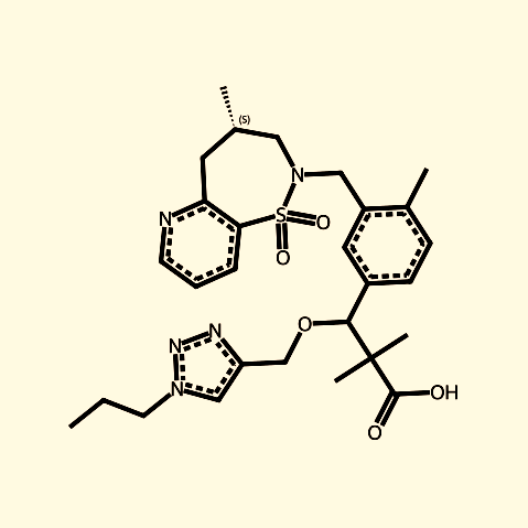 CCCn1cc(COC(c2ccc(C)c(CN3C[C@@H](C)Cc4ncccc4S3(=O)=O)c2)C(C)(C)C(=O)O)nn1